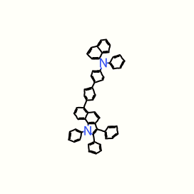 c1ccc(-c2c(-c3ccccc3)n(-c3ccccc3)c3c2ccc2c(-c4ccc(-c5ccc(N(c6ccccc6)c6cccc7ccccc67)cc5)cc4)cccc23)cc1